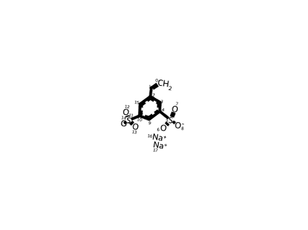 C=Cc1cc(S(=O)(=O)[O-])cc(S(=O)(=O)[O-])c1.[Na+].[Na+]